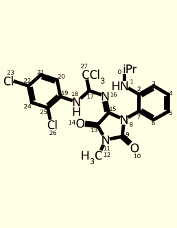 CC(C)Nc1ccccc1N1C(=O)N(C)C(=O)C1=NC(Nc1ccc(Cl)cc1Cl)C(Cl)(Cl)Cl